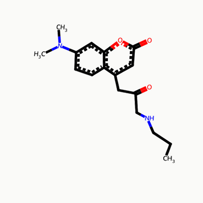 CCCNCC(=O)Cc1cc(=O)oc2cc(N(C)C)ccc12